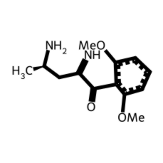 COc1cccc(OC)c1C(=O)C(=N)C[C@@H](C)N